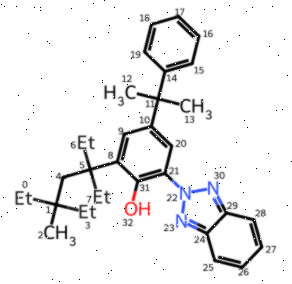 CCC(C)(CC)CC(CC)(CC)c1cc(C(C)(C)c2ccccc2)cc(-n2nc3ccccc3n2)c1O